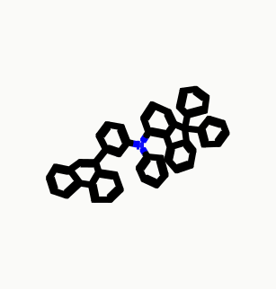 c1ccc(N(c2cccc(-c3cc4ccccc4c4ccccc34)c2)c2cccc3c2-c2ccccc2C3(c2ccccc2)c2ccccc2)cc1